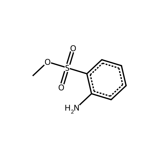 COS(=O)(=O)c1ccccc1N